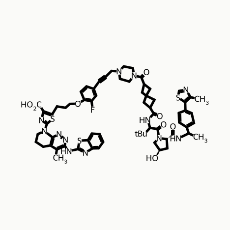 Cc1ncsc1-c1ccc(C(C)NC(=O)[C@@H]2C[C@@H](O)CN2C(=O)C(NC(=O)C2CC3(C2)CC(C(=O)N2CCN(CC#Cc4ccc(OCCCc5sc(N6CCCc7c6nnc(Nc6nc8ccccc8s6)c7C)nc5C(=O)O)c(F)c4)CC2)C3)C(C)(C)C)cc1